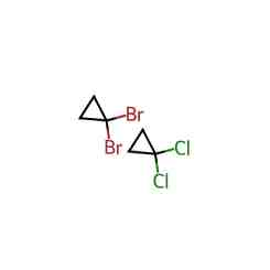 BrC1(Br)CC1.ClC1(Cl)CC1